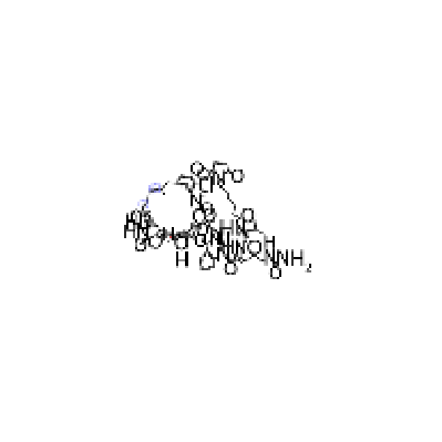 COc1cc2cc(c1Cl)N(C)C(=O)C[C@H](OC(=O)[C@H](C)N(C)C(=O)c1ccccc1NC(=O)[C@H](CCCNC(N)=O)NC(=O)[C@@H](NC(=O)CCCCCN1C(=O)C=CC1=O)C(C)C)[C@@H](C)[C@@H](O)[C@H](C)[C@@H]1C[C@@](O)(NC(=O)O1)[C@H](OC)/C=C/C=C(\C)C2